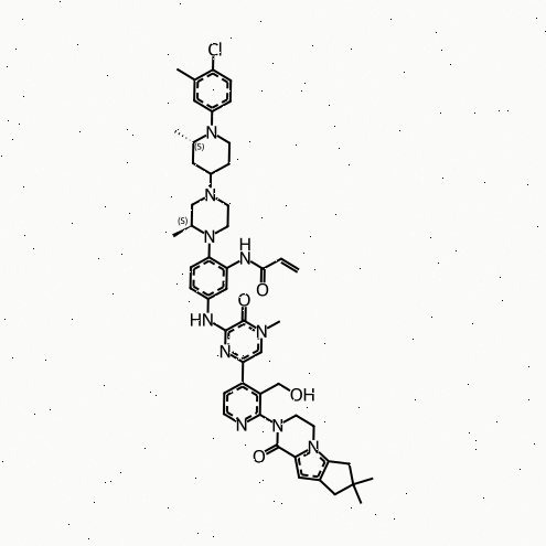 C=CC(=O)Nc1cc(Nc2nc(-c3ccnc(N4CCn5c(cc6c5CC(C)(C)C6)C4=O)c3CO)cn(C)c2=O)ccc1N1CCN(C2CCN(c3ccc(Cl)c(C)c3)[C@@H](C)C2)C[C@@H]1C